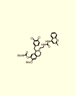 CNC(=O)Oc1cc2c(cc1OC)CCN(CCNC(=O)Nc1cc(C)nc3ccccc13)C2Cc1ccc(Cl)c(Cl)c1